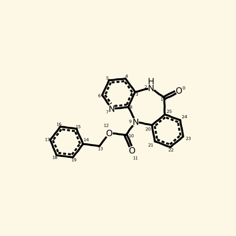 O=C1Nc2cccnc2N(C(=O)OCc2ccccc2)c2ccccc21